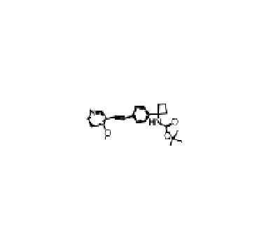 COc1ccncc1C#Cc1ccc(C2(NC(=O)OC(C)(C)C)CCC2)cc1